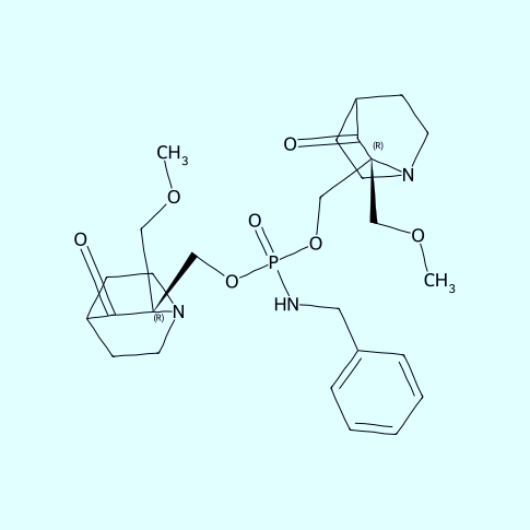 COC[C@@]1(COP(=O)(NCc2ccccc2)OC[C@]2(COC)C(=O)C3CCN2CC3)C(=O)C2CCN1CC2